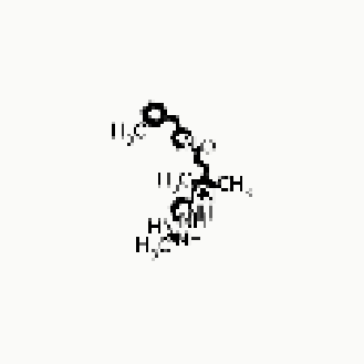 CC(=N)NC(=N)/C=C\C(=N)n1nc(C)c(CCC(=O)N2CCC(Cc3cccc(C)c3)C2)c1C